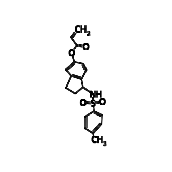 C=CC(=O)Oc1ccc2c(c1)CCC2NS(=O)(=O)c1ccc(C)cc1